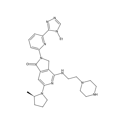 CCn1cnnc1-c1cccc(N2Cc3c(cc(N4CCC[C@H]4C)nc3NCCN3CCNCC3)C2=O)n1